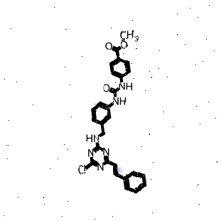 COC(=O)c1ccc(NC(=O)Nc2cccc(CNc3nc(Cl)nc(/C=C/c4ccccc4)n3)c2)cc1